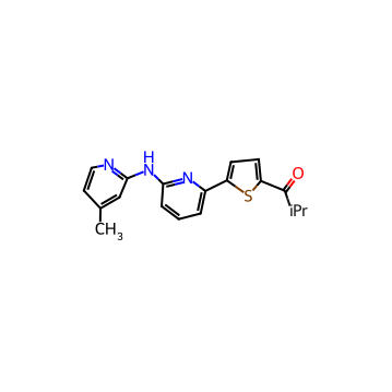 Cc1ccnc(Nc2cccc(-c3ccc(C(=O)C(C)C)s3)n2)c1